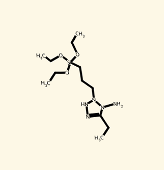 CCO[Si](CCCN1NN=C(CC)N1N)(OCC)OCC